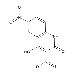 O=c1[nH]c2ccc([N+](=O)[O-])cc2c(O)c1[N+](=O)[O-]